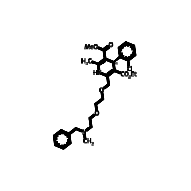 CCOC(=O)C1=C(COCCOCCN(C)Cc2ccccc2)NC(C)=C(C(=O)OC)[C@H]1c1ccccc1Cl